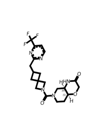 O=C1CO[C@H]2CCN(C(=O)N3CC4(CC(Cc5nccc(C(F)(F)F)n5)C4)C3)C[C@H]2N1